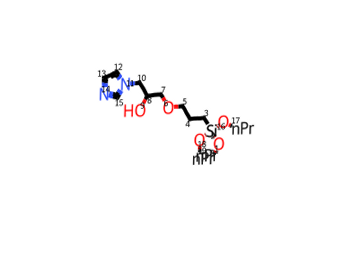 CCCO[Si](CCCOCC(O)Cn1ccnc1)(OCCC)OCCC